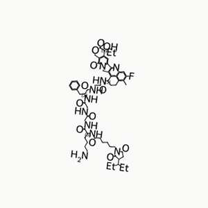 CCC(CC)C1CC(=O)N(CCCCCC(=O)N[C@@H](CCCCN)C(=O)NCC(=O)NCC(=O)N[C@@H](Cc2ccccc2)C(=O)NCC(=O)N[C@H]2CCc3c(C)c(F)cc4nc5c(c2c34)Cn2c-5cc3c(c2=O)COC(=O)[C@]3(O)CC)C1=O